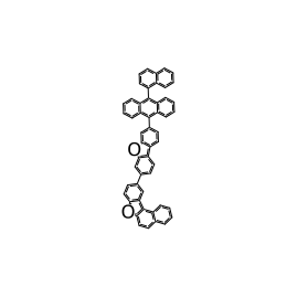 c1ccc2c(-c3c4ccccc4c(-c4ccc5c(c4)oc4cc(-c6ccc7oc8ccc9ccccc9c8c7c6)ccc45)c4ccccc34)cccc2c1